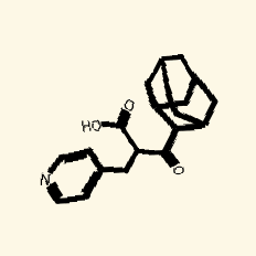 O=C(O)C(Cc1ccncc1)C(=O)C1C2CC3CC(C2)CC1C3